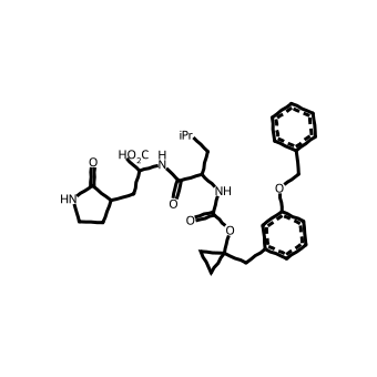 CC(C)CC(NC(=O)OC1(Cc2cccc(OCc3ccccc3)c2)CC1)C(=O)NC(CC1CCNC1=O)C(=O)O